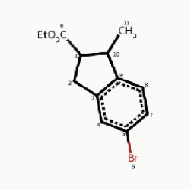 CCOC(=O)C1Cc2cc(Br)ccc2C1C